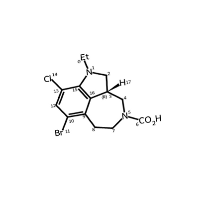 CCN1C[C@@H]2CN(C(=O)O)CCc3c(Br)cc(Cl)c1c32